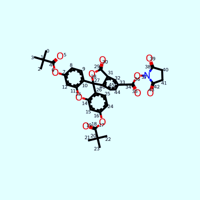 CC(C)(C)C(=O)Oc1ccc2c(c1)Oc1cc(OC(=O)C(C)(C)C)ccc1C21OC(=O)c2cc(C(=O)ON3C(=O)CCC3=O)ccc21